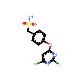 NS(=O)(=O)Cc1ccc(Oc2cc(Cl)nc(Cl)n2)cc1